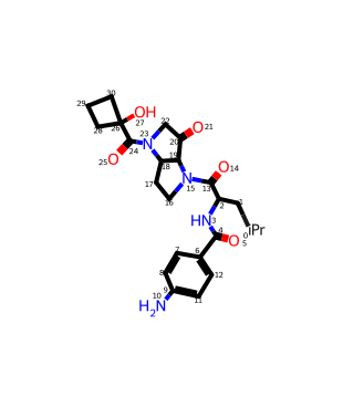 CC(C)CC(NC(=O)c1ccc(N)cc1)C(=O)N1CCC2C1C(=O)CN2C(=O)C1(O)CCC1